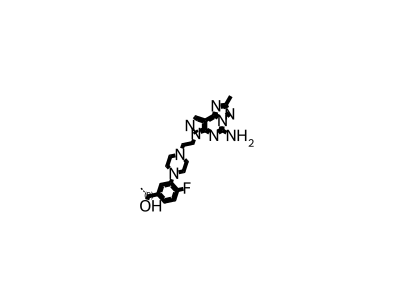 Cc1nc2c3cnn(CCN4CCN(c5cc([C@@H](C)O)ccc5F)CC4)c3nc(N)n2n1